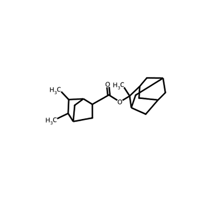 CC1C2CC(C(=O)OC3(C)C4CC5CC(C4)CC3C5)C(C2)C1C